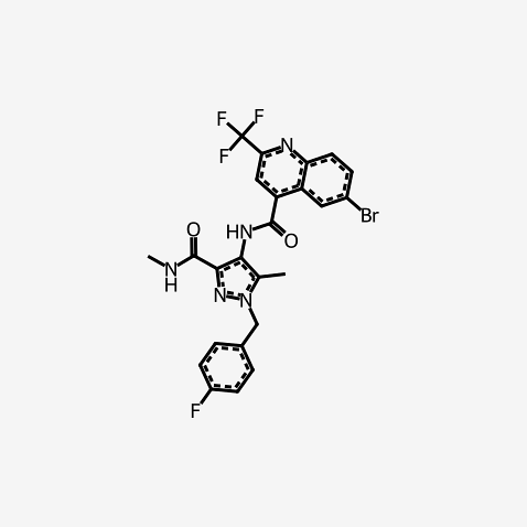 CNC(=O)c1nn(Cc2ccc(F)cc2)c(C)c1NC(=O)c1cc(C(F)(F)F)nc2ccc(Br)cc12